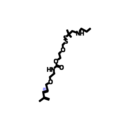 C=C(C)/C=C/COCCNC(=O)OCCOCSSC(C)(C)CNCCC